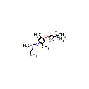 CCCN(C)C=Nc1cc(C)c(Oc2cc(C(C)(C)C)ns2)cc1C